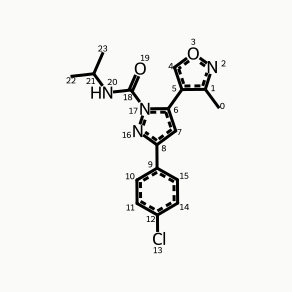 Cc1nocc1-c1cc(-c2ccc(Cl)cc2)nn1C(=O)NC(C)C